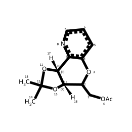 CC(=O)OCC1Oc2cccnc2[C@H]2OC(C)(C)O[C@@H]12